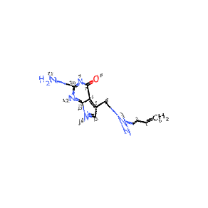 C=CCNCC1=C2C(=O)N=C(N)N=C2N=C1